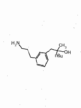 CCCCC(C)(O)Cc1cccc(CCCN)c1